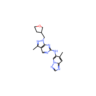 Cc1cc2ncnn2cc1Nc1ncc2c(C)nn(CC3CCOC3)c2n1